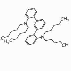 CCCCCN(CCCCC)c1ccccc1-c1cccc(-c2ccccc2N(CCCCC)CCCCC)c1